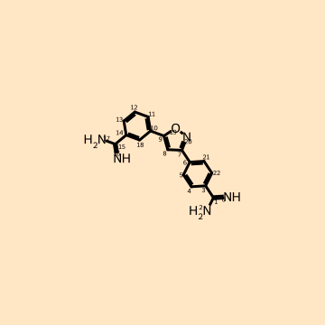 N=C(N)c1ccc(-c2cc(-c3cccc(C(=N)N)c3)on2)cc1